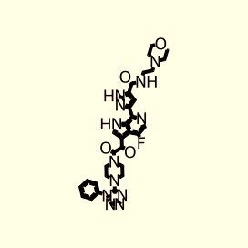 O=C(NCCN1CCOCC1)c1cc(-c2ncc(F)c3c(C(=O)C(=O)N4CCN(c5nnnn5-c5ccccc5)CC4)c[nH]c23)n[nH]1